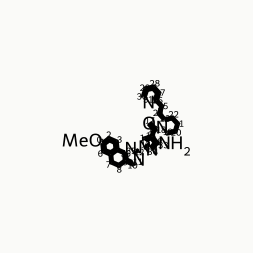 COc1ccc2c(c1)CCc1cnc(-n3cc(C(=O)N4CCCCC4CCc4ccccn4)c(N)n3)nc1-2